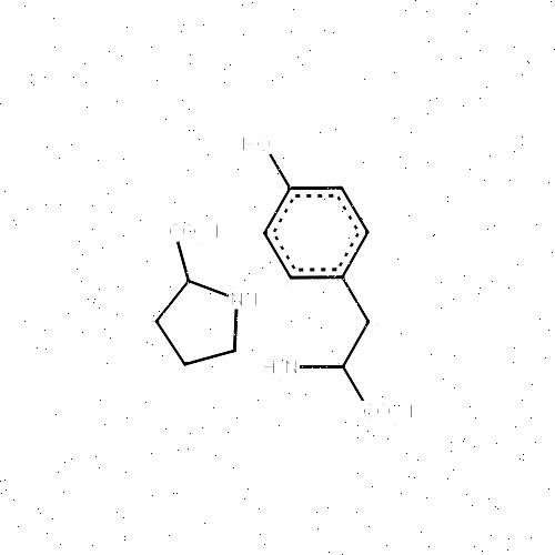 NC(Cc1ccc(O)cc1)C(=O)O.O=C(O)C1CCCN1